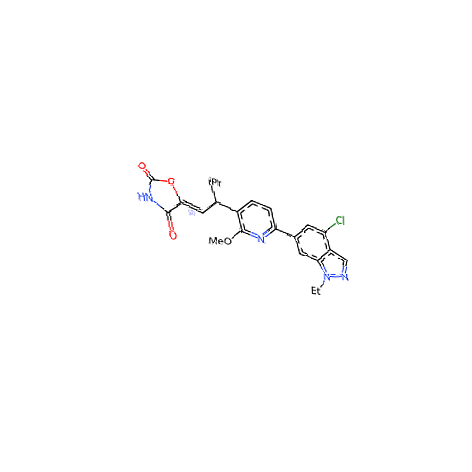 CCn1ncc2c(Cl)cc(-c3ccc(C(/C=C4\OC(=O)NC4=O)C(C)C)c(OC)n3)cc21